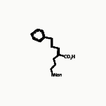 CCCCCCCCCCCCC(=CC=Cc1ccccc1)C(=O)O